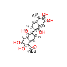 CCCCC(=O)c1c(O)c(O)cc2c(O)c(-c3c(C)cc4c(C(C)=O)c(O)c(O)cc4c3O)c(C)cc12